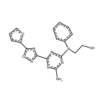 Nc1nc(-c2noc(-c3ccco3)n2)nc(N(CCO)c2ccccc2)n1